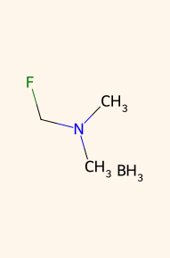 B.CN(C)CF